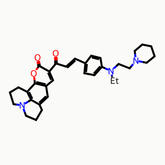 CCN(CCN1CCCCC1)c1ccc(C=CC(=O)c2cc3cc4c5c(c3oc2=O)CCCN5CCC4)cc1